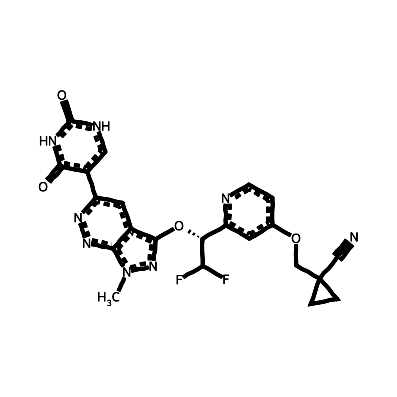 Cn1nc(O[C@H](c2cc(OCC3(C#N)CC3)ccn2)C(F)F)c2cc(-c3c[nH]c(=O)[nH]c3=O)nnc21